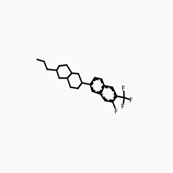 CCCC1CCC2CC(c3ccc4cc(C(F)(F)F)c(F)cc4c3)CCC2C1